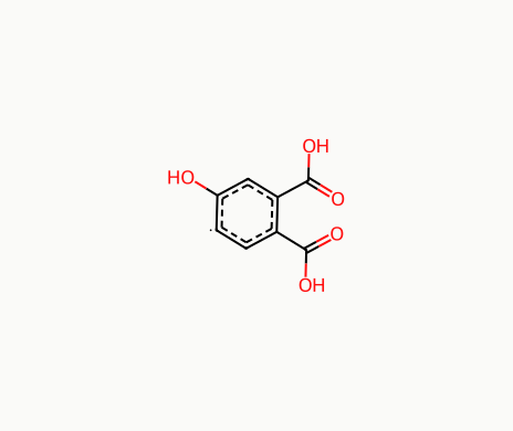 O=C(O)c1c[c]c(O)cc1C(=O)O